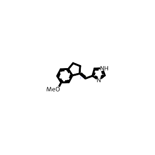 COc1ccc2c(c1)/C(=C/c1c[nH]cn1)CC2